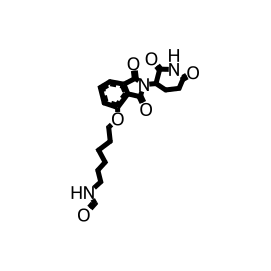 O=CNCCCCCCOc1cccc2c1C(=O)N(C1CCC(=O)NC1=O)C2=O